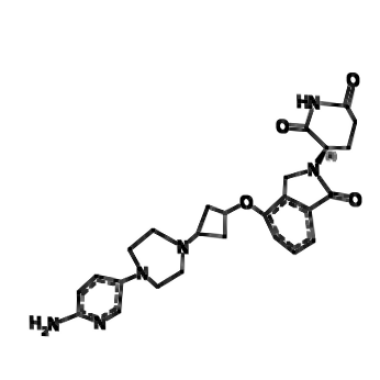 Nc1ccc(N2CCN(C3CC(Oc4cccc5c4CN([C@@H]4CCC(=O)NC4=O)C5=O)C3)CC2)cn1